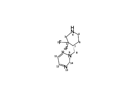 FC1(F)CNCC[C@@H]1CN1C=CC=NC1